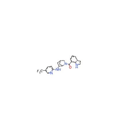 O=C(c1cccc2cc[nH]c12)N1CC2CC1[C@@H](Nc1ccc(C(F)(F)F)cn1)C2